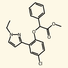 CCn1ccc(-c2cc(Cl)ccc2OC(C(=O)OC)c2ccccc2)n1